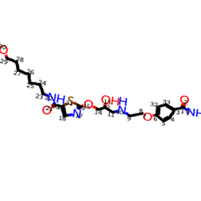 NC(=O)c1ccc(OCCNCC(O)COc2ncc(C(=O)NCCCCCCCO)s2)cc1